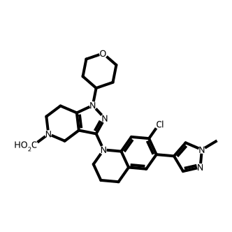 Cn1cc(-c2cc3c(cc2Cl)N(c2nn(C4CCOCC4)c4c2CN(C(=O)O)CC4)CCC3)cn1